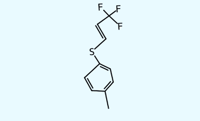 Cc1ccc(S/C=C/C(F)(F)F)cc1